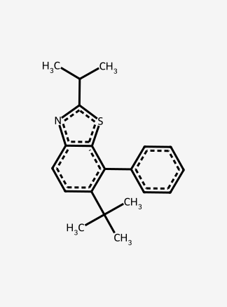 CC(C)c1nc2ccc(C(C)(C)C)c(-c3ccccc3)c2s1